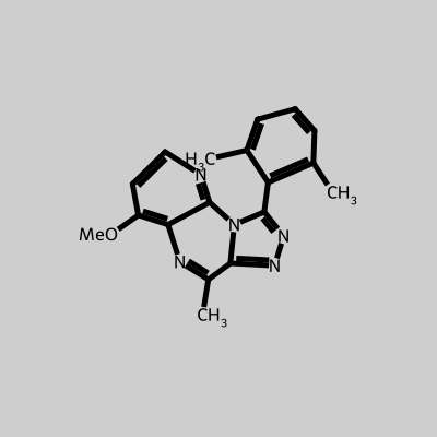 COc1ccnc2c1nc(C)c1nnc(-c3c(C)cccc3C)n12